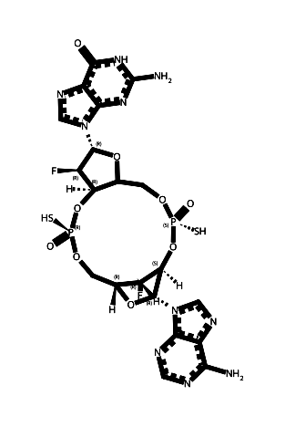 Nc1nc2c(ncn2[C@@H]2OC3CO[P@](=O)(S)O[C@@H]4[C@H](F)[C@@H](CO[P@@](=O)(S)O[C@H]3[C@H]2F)O[C@H]4n2cnc3c(N)ncnc32)c(=O)[nH]1